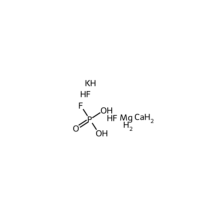 F.F.O=P(O)(O)F.[CaH2].[KH].[MgH2]